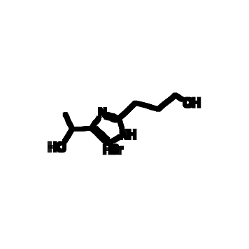 Br.CC(O)c1c[nH]c(CCCO)n1